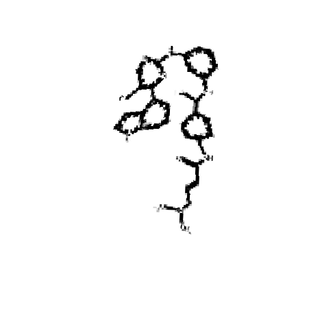 CN(C)C/C=C/C(=O)Nc1ccc(C(O)Nc2cccc(Nc3ncc(Cl)c(-c4cccc5[nH]ccc45)n3)c2)cc1